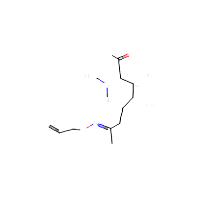 C=CCON=C(C)CC[C@@H](C)[C@@H](O)[C@@H](C(=O)C(C)C)N(C)C(C)C